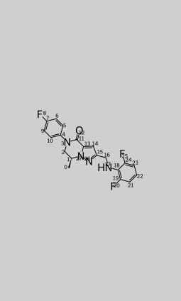 C[C@H]1CN(c2ccc(F)cc2)C(=O)c2cc(CNc3c(F)cccc3F)nn21